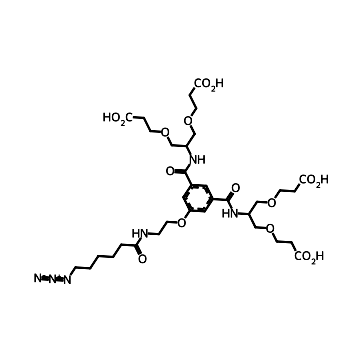 [N-]=[N+]=NCCCCCC(=O)NCCOc1cc(C(=O)NC(COCCC(=O)O)COCCC(=O)O)cc(C(=O)NC(COCCC(=O)O)COCCC(=O)O)c1